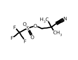 CC(C)(C#N)COS(=O)(=O)C(F)(F)F